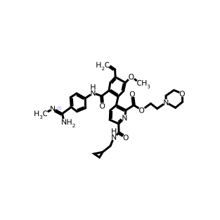 C=Cc1cc(C(=O)Nc2ccc(/C(N)=N/C)cc2)c(-c2ccc(C(=O)NCC3CC3)nc2C(=O)OCCN2CCOCC2)cc1OC